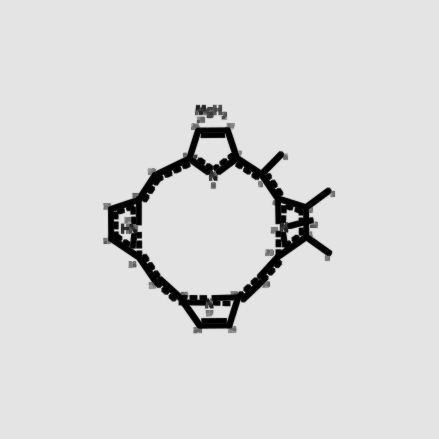 Cc1c(C)c2c(C)c3nc(cc4ccc(cc5nc(cc1n2C)C=C5)[nH]4)C=C3.[MgH2]